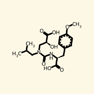 COc1ccc(C[C@H](NC(=O)N(CC(C)C)C[C@H](O)C(=O)O)C(=O)O)cc1